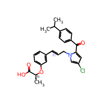 CC(C)c1ccc(C(=O)c2cc(Cl)cn2C/C=C/c2cccc(O[C@@H](C)C(=O)O)c2)cc1